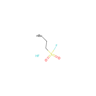 CCCCCCS(=O)(=O)F.F